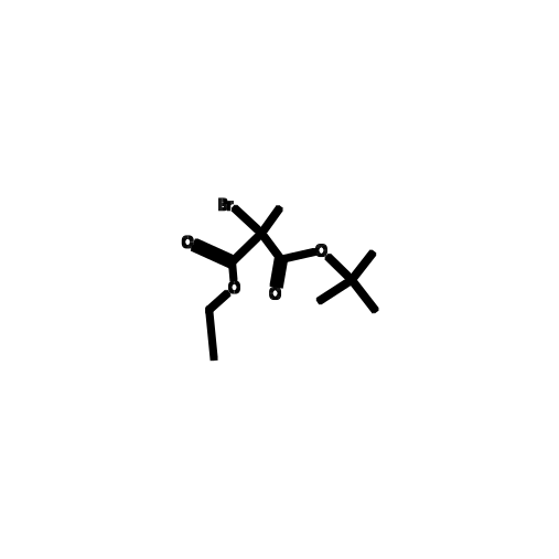 CCOC(=O)C(C)(Br)C(=O)OC(C)(C)C